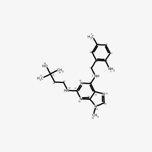 Cc1ccc(N)c(CNc2nc(NCCC(C)(C)O)nc3c2ncn3C)c1